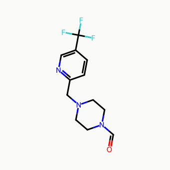 O=CN1CCN(Cc2ccc(C(F)(F)F)cn2)CC1